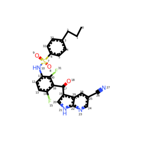 CCCc1ccc(S(=O)(=O)Nc2ccc(F)c(C(=O)c3c[nH]c4ncc(C#N)cc34)c2F)cc1